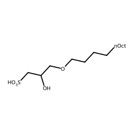 CCCCCCCCCCCCOCC(O)CS(=O)(=O)O